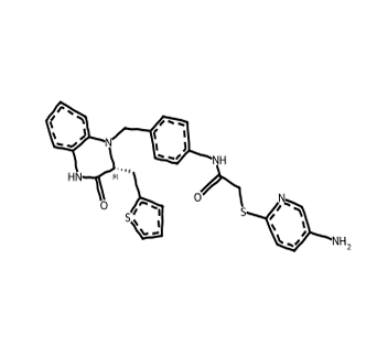 Nc1ccc(SCC(=O)Nc2ccc(CN3c4ccccc4NC(=O)[C@H]3Cc3cccs3)cc2)nc1